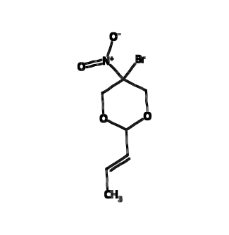 CC=CC1OCC(Br)([N+](=O)[O-])CO1